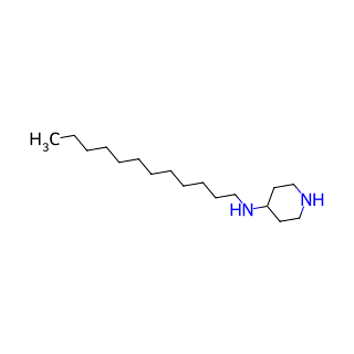 CCCCCCCCCCCCNC1CCNCC1